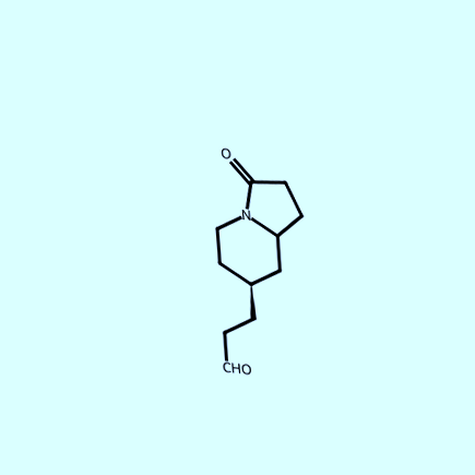 O=CCC[C@H]1CCN2C(=O)CCC2C1